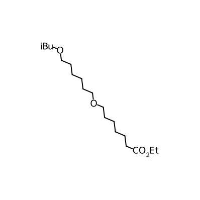 CCOC(=O)CCCCCCOCCCCCCOC(C)CC